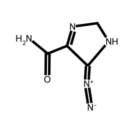 [N-]=[N+]=C1NCN=C1C(N)=O